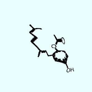 CC(=O)Oc1ccc(O)cc1C/C=C(\C)CCC=C(C)C